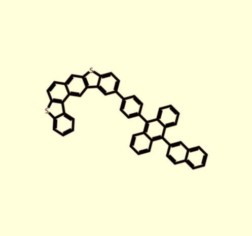 c1ccc2cc(-c3c4ccccc4c(-c4ccc(-c5ccc6sc7cc8ccc9sc%10ccccc%10c9c8cc7c6c5)cc4)c4ccccc34)ccc2c1